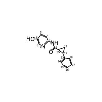 O=C(Nc1ccc(O)cn1)C1CC1c1ccccc1